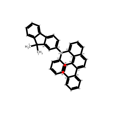 CC1(C)c2ccccc2-c2ccc(N(c3ccccc3)c3cccc4ccc5c6ccccc6ccc5c34)cc21